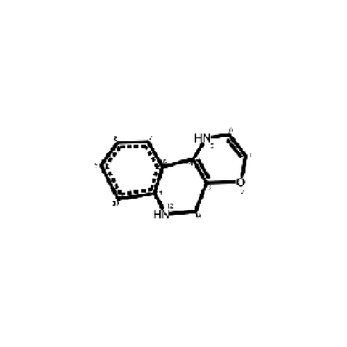 C1=COC2=C(N1)c1ccccc1NC2